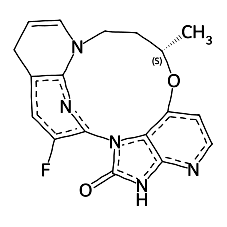 C[C@H]1CCN2C=CCc3cc(F)c(nc32)-n2c(=O)[nH]c3nccc(c32)O1